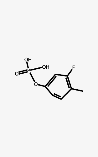 Cc1ccc(OP(=O)(O)O)cc1F